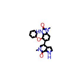 Cn1cc(-c2ccc3c([nH]c(=O)n3C)c2Oc2ccccc2)c2cc[nH]c2c1=O